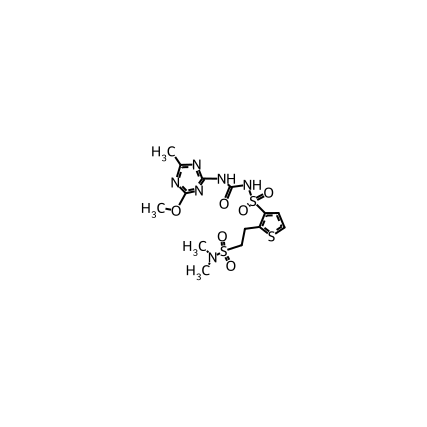 COc1nc(C)nc(NC(=O)NS(=O)(=O)c2ccsc2CCS(=O)(=O)N(C)C)n1